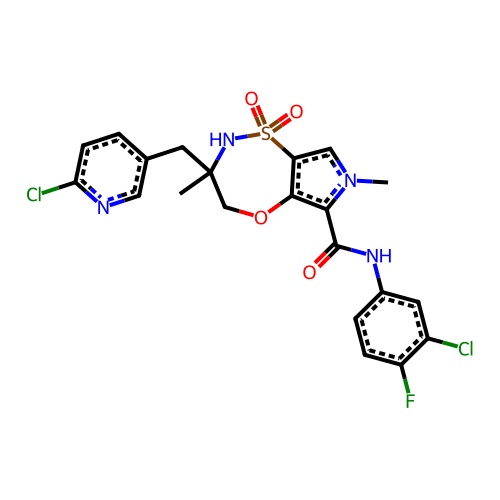 Cn1cc2c(c1C(=O)Nc1ccc(F)c(Cl)c1)OCC(C)(Cc1ccc(Cl)nc1)NS2(=O)=O